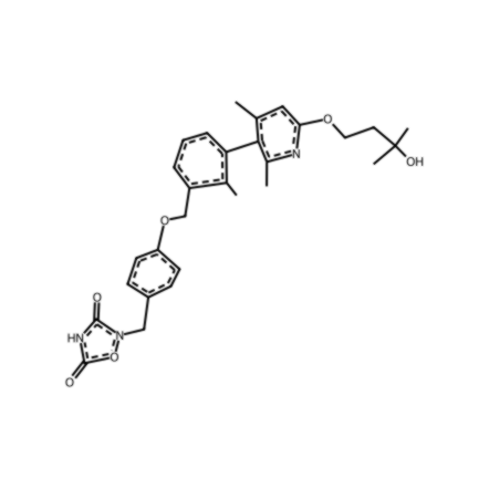 Cc1cc(OCCC(C)(C)O)nc(C)c1-c1cccc(COc2ccc(Cn3oc(=O)[nH]c3=O)cc2)c1C